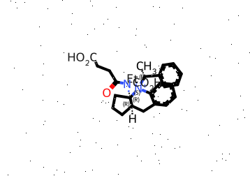 CCN(C(=O)CCC(=O)O)[C@@]12CCC[C@@H]1Cc1ccccc1[N@@+]2(C(=O)O)[C@H](C)c1ccccc1